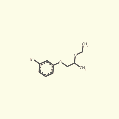 CCOC(C)COc1cccc(Br)c1